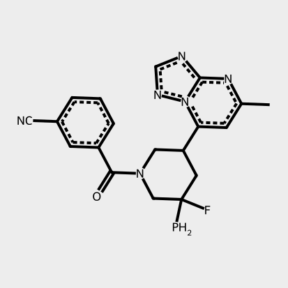 Cc1cc(C2CN(C(=O)c3cccc(C#N)c3)CC(F)(P)C2)n2ncnc2n1